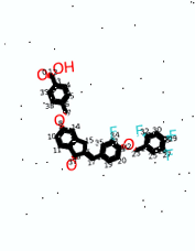 O=C(O)c1ccc(COc2ccc3c(c2)C/C(=C\c2ccc(OCc4cc(F)c(F)cc4F)c(F)c2)C3=O)cc1